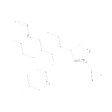 CC(=O)N1c2ccc(-c3cnn(C4CC4)c3)c(Oc3ccc(C)cn3)c2CCC1C